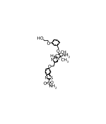 CC(C)(OCc1cccc(OCCO)c1)[C@@](C)(N)n1cc(COc2ccc3nc(S(N)(=O)=O)sc3c2)nn1